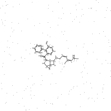 CN/C=C(C)\C=C/COC1CC23CC2CN(C(=O)c2cccc(F)c2-c2ncccn2)C13